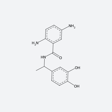 CC(NC(=O)c1cc(N)ccc1N)c1ccc(O)c(O)c1